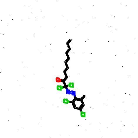 CCCCCCCCCC(=O)C(Cl)(Cl)N=Nc1c(C)cc(Cl)cc1Cl